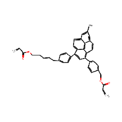 C=CC(=O)OCCCCCc1ccc(-c2cc(-c3ccc(COC(=O)C=C)cc3)c3ccc4cc(C(C)(C)C)cc5ccc2c3c54)cc1